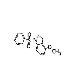 COc1cccc2c1CCN2S(=O)(=O)c1ccccc1